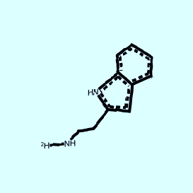 [2H]NCCc1cc2ccccc2[nH]1